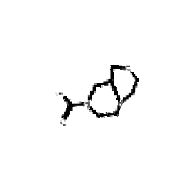 CC(C)C(=O)N1CCN2CCOCC2C1